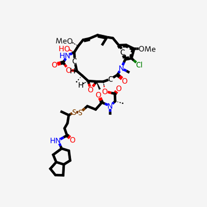 COc1cc2cc(c1Cl)N(C)C(=O)C[C@H](OC(=O)[C@H](C)N(C)C(=O)CCSSC(C)CCC(=O)NC1CCC3CCCC3C1)[C@]1(C)O[C@H]1[C@H](C)[C@@H]1C[C@@](O)(NC(=O)O1)[C@H](OC)/C=C/C=C(\C)C2